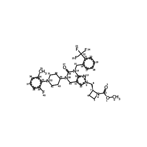 COC(=O)N1CC[C@H]1Cn1cc2c(n1)N(Cc1ccccc1C(F)(F)F)C(=O)N(C1CCN(c3c(C)cccc3F)CC1)C2